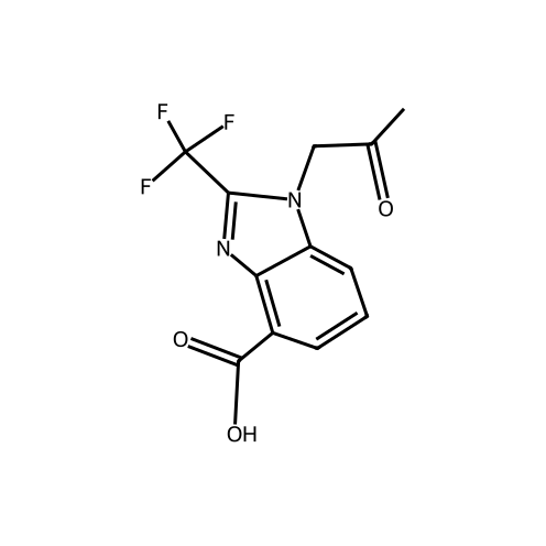 CC(=O)Cn1c(C(F)(F)F)nc2c(C(=O)O)cccc21